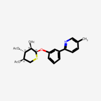 CC(=O)O[C@@H]1[C@@H](OC(C)=O)[C@@H](Oc2cccc(-c3ccc(C)cn3)c2)SC[C@H]1OC(C)=O